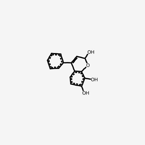 Oc1ccc2c(c1O)OC(O)C=C2c1ccccc1